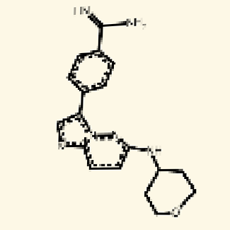 N=C(N)c1ccc(-c2cnc3ccc(NC4CCOCC4)nn23)cc1